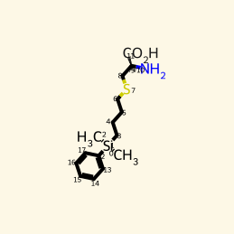 C[Si](C)(CCCCSC[C@H](N)C(=O)O)c1ccccc1